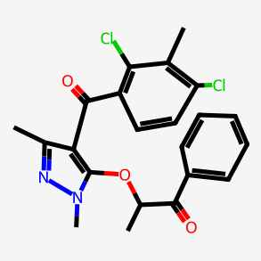 Cc1nn(C)c(OC(C)C(=O)c2ccccc2)c1C(=O)c1ccc(Cl)c(C)c1Cl